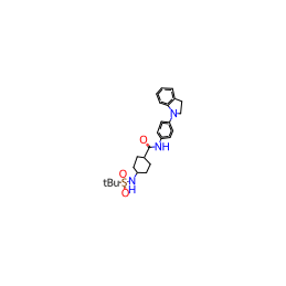 CC(C)(C)S(=O)(=O)NC1CCC(C(=O)Nc2ccc(N3CCc4ccccc43)cc2)CC1